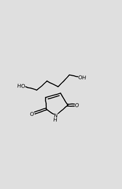 O=C1C=CC(=O)N1.OCCCCO